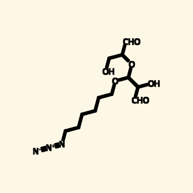 [N-]=[N+]=NCCCCCCOC(OC(C=O)CO)C(O)C=O